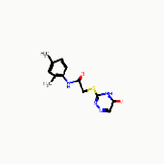 Cc1ccc(NC(=O)CSc2nncc(=O)[nH]2)c(C)c1